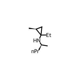 CCC[C@H](C)NC1(CC)C[C@@H]1C